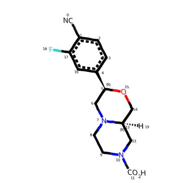 N#Cc1ccc([C@@H]2CN3CCN(C(=O)O)C[C@@H]3CO2)cc1F